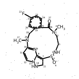 CN1CCN[S+]([O-])C2=C3N=C(C=CN3NC2)N(C)Cc2cc(F)ccc2C1=O